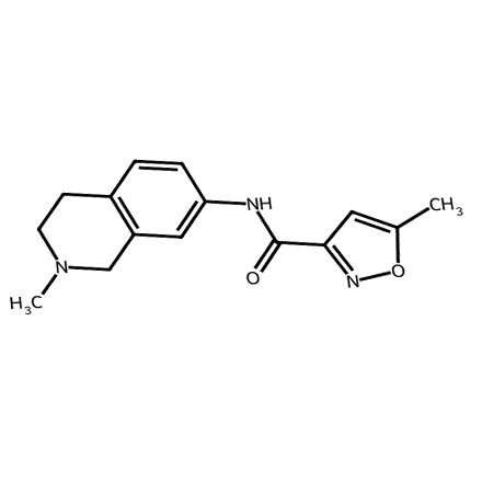 Cc1cc(C(=O)Nc2ccc3c(c2)CN(C)CC3)no1